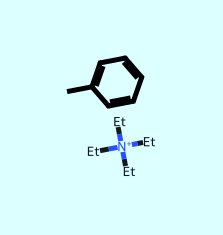 CC[N+](CC)(CC)CC.Cc1ccccc1